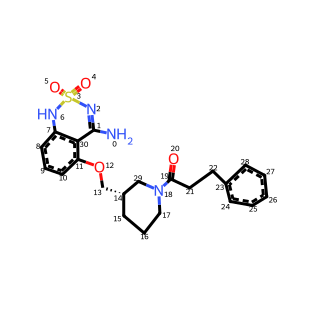 NC1=NS(=O)(=O)Nc2cccc(OC[C@H]3CCCN(C(=O)CCc4ccccc4)C3)c21